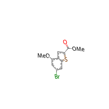 COC(=O)c1cc2c(OC)cc(Br)cc2s1